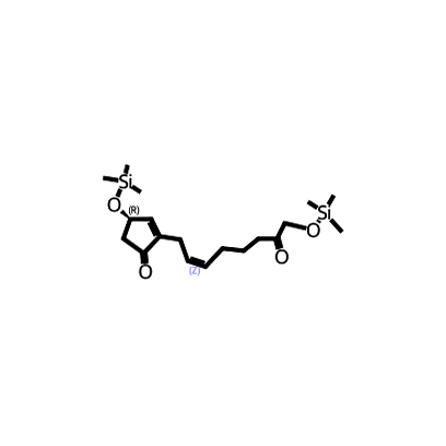 C[Si](C)(C)OCC(=O)CCC/C=C\CC1=C[C@H](O[Si](C)(C)C)CC1=O